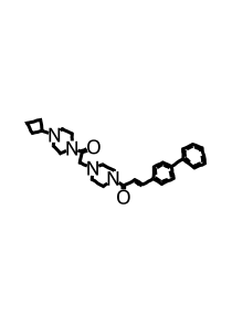 O=C(C=Cc1ccc(-c2ccccc2)cc1)N1CCN(CC(=O)N2CCN(C3CCC3)CC2)CC1